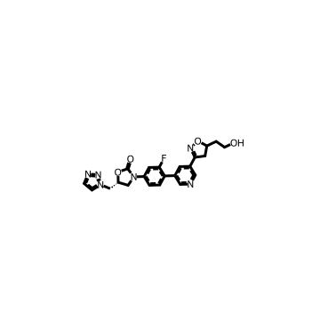 O=C1O[C@@H](Cn2ccnn2)CN1c1ccc(-c2cncc(C3=NOC(CCO)C3)c2)c(F)c1